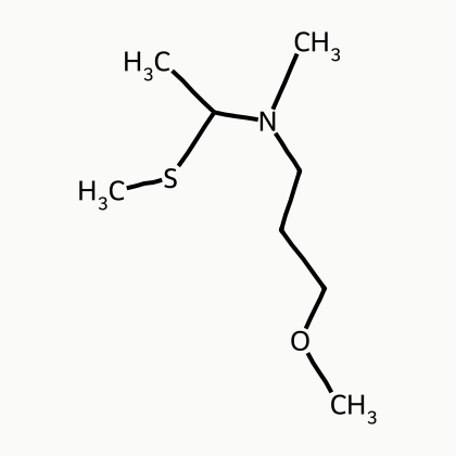 COCCCN(C)C(C)SC